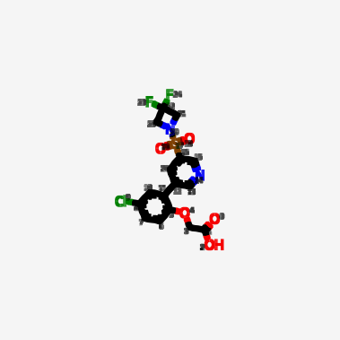 O=C(O)COc1ccc(Cl)cc1-c1cncc(S(=O)(=O)N2CC(F)(F)C2)c1